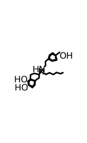 CCCCCCN(NCCc1ccc(CO)cc1)C1CCc2c(ccc(O)c2O)C1